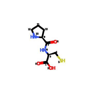 O=C(O)[C@H](CS)NC(=O)[C@@H]1CCCN1